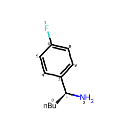 CCCC[C@H](N)c1ccc(F)cc1